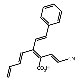 C=CC=CC(C=Cc1ccccc1)=C(C=CC#N)C(=O)O